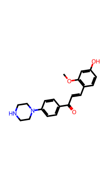 COc1cc(O)ccc1/C=C/C(=O)c1ccc(N2CCNCC2)cc1